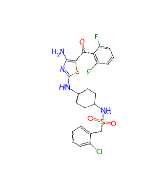 Nc1nc(NC2CCC(NS(=O)(=O)Cc3ccccc3Cl)CC2)sc1C(=O)c1c(F)cccc1F